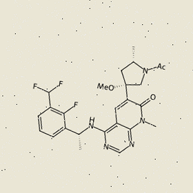 CO[C@]1(c2cc3c(N[C@H](C)c4cccc(C(F)F)c4F)ncnc3n(C)c2=O)C[C@H](C)N(C(C)=O)C1